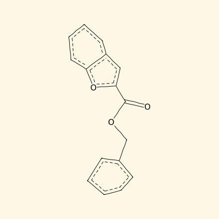 O=C(OCc1ccccc1)c1cc2ccccc2o1